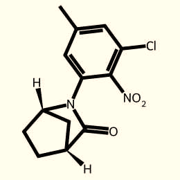 Cc1cc(Cl)c([N+](=O)[O-])c(N2C(=O)[C@@H]3CC[C@H]2C3)c1